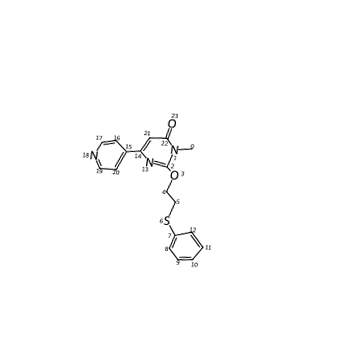 Cn1c(OCCSc2ccccc2)nc(-c2ccncc2)cc1=O